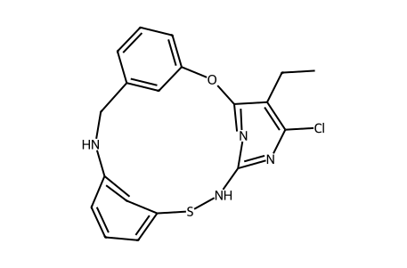 CCc1c(Cl)nc2nc1Oc1cccc(c1)CNc1cccc(c1)SN2